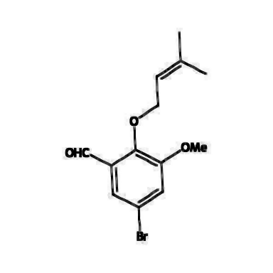 COc1cc(Br)cc(C=O)c1OCC=C(C)C